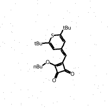 CCCCOc1c(C=C2C=C(C(C)(C)C)SC(C(C)(C)C)=C2)c(=O)c1=O